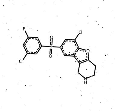 O=S(=O)(c1cc(F)cc(Cl)c1)c1cc(Cl)c2oc3c(c2c1)CNCC3